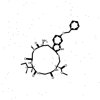 CC[C@H](C)[C@]1(C)NC(=O)CN(I)C(=O)[C@@H](N)Cc2c([nH]c3cc(OCc4ccccc4)ccc23)SC[C@@H](C(=O)OC)NC(=O)CNC1=O